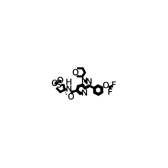 C[C@]1(NC(=O)c2cnc3c(-c4cccc(OC(F)F)c4)nn([C@@H]4CCCOC4)c3c2)CCS(=O)(=O)C1